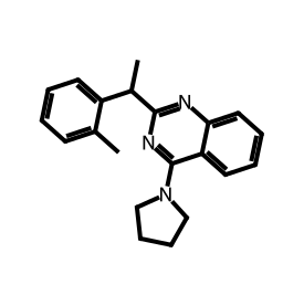 Cc1ccccc1C(C)c1nc(N2CCCC2)c2ccccc2n1